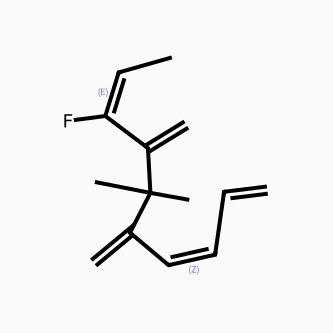 C=C/C=C\C(=C)C(C)(C)C(=C)/C(F)=C\C